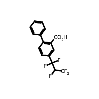 O=C(O)c1cc(C(F)(F)C(F)C(F)(F)F)ccc1-c1ccccc1